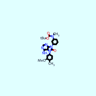 COc1cc(-n2c(=O)n(-c3cccc(N(C)C(=O)OC(C)(C)C)c3)c3ncnc(N)c32)ccc1C